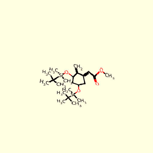 C=C1C(=CC(=O)OC)CC(O[Si](C)(C)C(C)(C)C)CC1O[Si](C)(C)C(C)(C)C